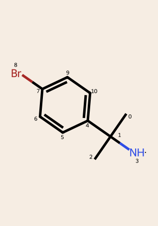 CC(C)([NH])c1ccc(Br)cc1